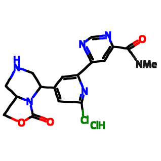 CNC(=O)c1cc(-c2cc(C3CNCC4COC(=O)N43)cc(Cl)n2)ncn1.Cl